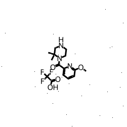 COc1cccc(C(=O)N2CCNCC2(C)C)n1.O=C(O)C(F)(F)F